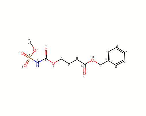 CCOS(=O)(=O)NC(=O)OCCCC(=O)OCc1ccccc1